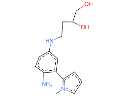 Cn1cccc1-c1cc(NCCC(O)CO)ccc1N